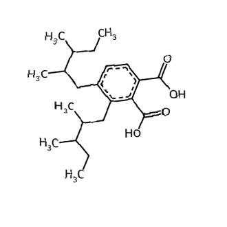 CCC(C)C(C)Cc1ccc(C(=O)O)c(C(=O)O)c1CC(C)C(C)CC